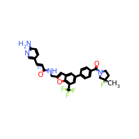 C[C@]1(F)CCN(C(=O)c2ccc(-c3cc(C(F)(F)F)c4oc(CNC(=O)/C=C/c5ccc(N)nc5)cc4c3)cc2)C1